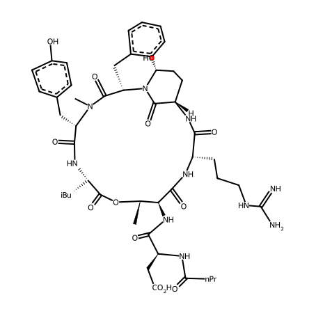 CCCC(=O)N[C@@H](CC(=O)O)C(=O)N[C@@H]1C(=O)N[C@@H](CCCNC(=N)N)C(=O)N[C@H]2CC[C@@H](O)N(C2=O)[C@@H](Cc2ccccc2)C(=O)N(C)[C@@H](Cc2ccc(O)cc2)C(=O)N[C@@H]([C@@H](C)CC)C(=O)O[C@@H]1C